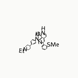 CCN1CCC(c2ccc(Nc3nc(-c4ccccc4SC)cc4cc[nH]c(=O)c34)cc2)CC1